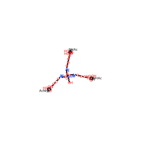 CC(=O)N[C@H]1[C@H]2OC[C@](COCCOCCOCCOCCn3cc(COCC(COCc4cn(CCOCCOCCOCCOC[C@@]56CO[C@@H](O5)[C@H](NC(C)=O)[C@@H](O)[C@H]6O)nn4)(COCc4cn(CCOCCOCCOCCOC[C@@]56OO[C@@H](O5)[C@H](NC(C)=O)[C@@H](O)[C@H]6O)nn4)NC(=O)CCCO)nn3)(O2)[C@H](O)[C@@H]1O